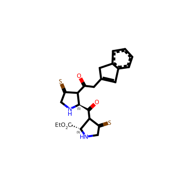 CCOC(=O)[C@H]1NCC(=S)C1C(=O)[C@H]1NCC(=S)C1C(=O)CC1=Cc2ccccc2C1